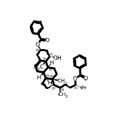 CC(C)[C@H](CC[C@@H](C)[C@H]1CC[C@H]2[C@@H]3CC=C4C[C@@H](OC(=O)c5ccccc5)C[C@H](O)[C@]4(C)[C@H]3CC[C@]12C)OC(=O)c1ccccc1